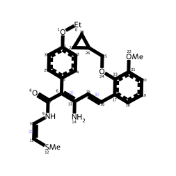 CCOc1ccc(/C(C(=O)N/C=C\SC)=C(N)\C=C\c2cccc(OC)c2OCC2CC2)cc1